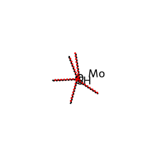 CCCCCCCCCCCCCCCCCOC(S)=S(CCCCCCCCCCCCCCCCC)(CCCCCCCCCCCCCCCCC)(CCCCCCCCCCCCCCCCC)CCCCCCCCCCCCCCCCC.[Mo]